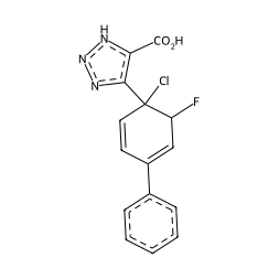 O=C(O)c1[nH]nnc1C1(Cl)C=CC(c2ccccc2)=CC1F